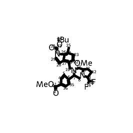 COC(=O)c1ccc(C2CN3C(CCC3C(F)F)CN2Cc2c(OC)cc(C)c3c2ccn3C(=O)OC(C)(C)C)cc1